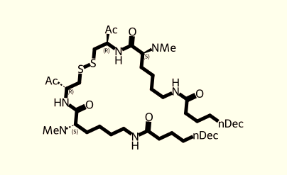 CCCCCCCCCCCCCC(=O)NCCCC[C@H](NC)C(=O)N[C@@H](CSSC[C@H](NC(=O)[C@H](CCCCNC(=O)CCCCCCCCCCCCC)NC)C(C)=O)C(C)=O